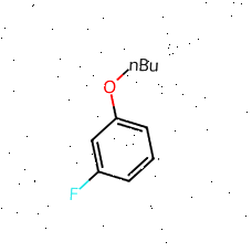 CCCCOc1c[c]cc(F)c1